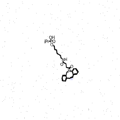 CC(C)P(=O)(O)OCCCCCCNC(=O)CCC(=O)N1Cc2ccccc2/C=C\c2ccccc21